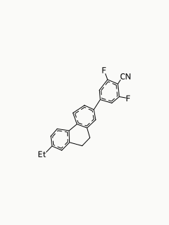 CCc1ccc2c(c1)CCc1cc(-c3cc(F)c(C#N)c(F)c3)ccc1-2